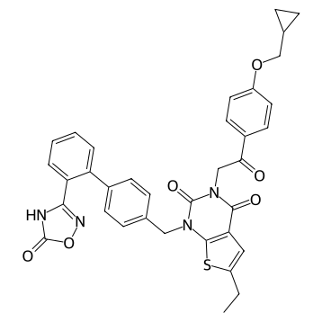 CCc1cc2c(=O)n(CC(=O)c3ccc(OCC4CC4)cc3)c(=O)n(Cc3ccc(-c4ccccc4-c4noc(=O)[nH]4)cc3)c2s1